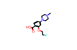 CN1CCN(c2ccc(C(=O)O)c(OCCF)c2)CC1